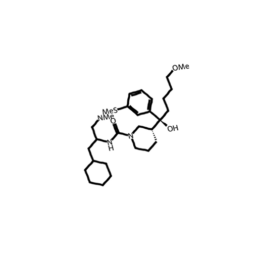 CNCC(CC1CCCCC1)NC(=O)N1CCC[C@@H]([C@@](O)(CCCCOC)c2cccc(SC)c2)C1